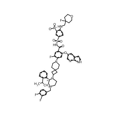 CC(C)c1ccccc1[C@@H]1CN(Cc2ccc(F)c(F)c2)CCN1C1CC2(CCN(c3cc(Oc4cnc5[nH]ccc5c4)c(C(=O)NS(=O)(=O)c4ccc(NCC5(F)CCOCC5)c([N+](=O)[O-])c4)cc3F)CC2)C1